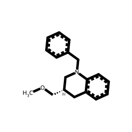 COC[C@H]1Cc2ccccc2N(Cc2ccccc2)C1